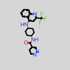 O=C(N[C@H]1CC[C@@H](Nc2cc(C(F)(F)F)nc3ccccc23)CC1)c1ccnnc1